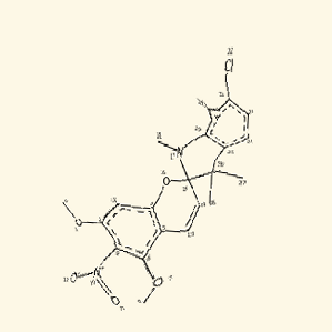 COc1cc2c(c(OC)c1[N+](=O)[O-])C=CC1(O2)N(C)c2cc(Cl)ccc2C1(C)C